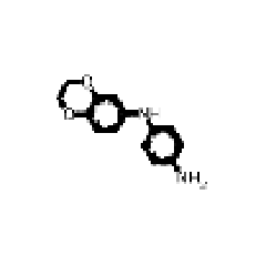 Nc1ccc(Nc2ccc3c(c2)OCCO3)cc1